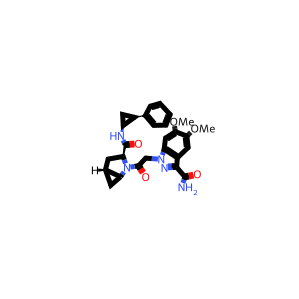 COc1cc2c(C(N)=O)nn(CC(=O)N3C4C[C@@H]4C[C@H]3C(=O)N[C@H]3C[C@@H]3c3ccccc3)c2cc1OC